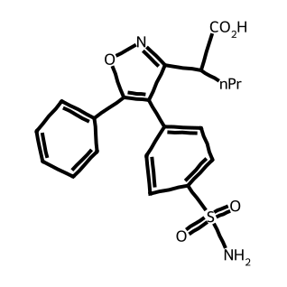 CCCC(C(=O)O)c1noc(-c2ccccc2)c1-c1ccc(S(N)(=O)=O)cc1